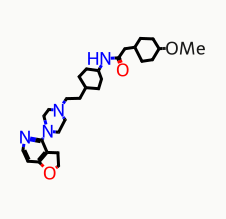 COC1CCC(CC(=O)NC2CCC(CCN3CCN(c4nccc5c4CCO5)CC3)CC2)CC1